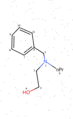 CCCN(CCO)Cc1ccccc1